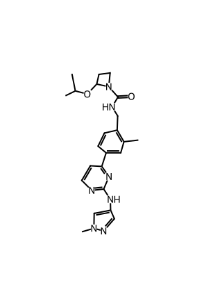 Cc1cc(-c2ccnc(Nc3cnn(C)c3)n2)ccc1CNC(=O)N1CCC1OC(C)C